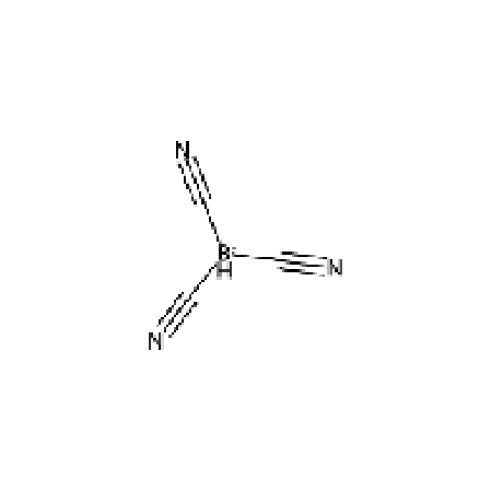 N#C[BH-](C#N)C#N